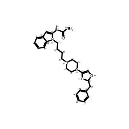 NC(=O)Nc1cc2ccccc2n1CCCCN1CCN(C2=COC(Cc3ccccc3)O2)CC1